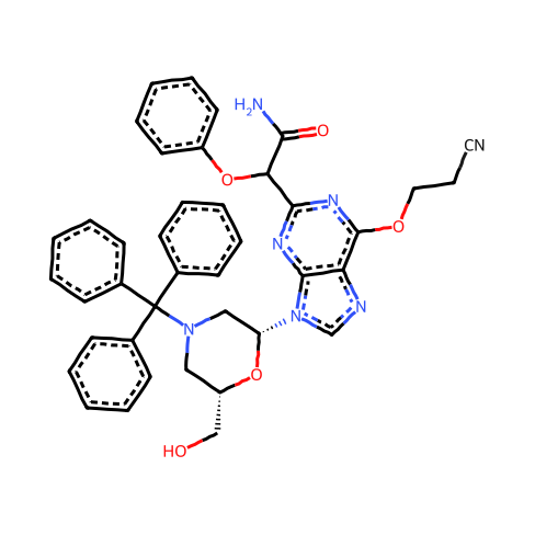 N#CCCOc1nc(C(Oc2ccccc2)C(N)=O)nc2c1ncn2[C@H]1CN(C(c2ccccc2)(c2ccccc2)c2ccccc2)C[C@@H](CO)O1